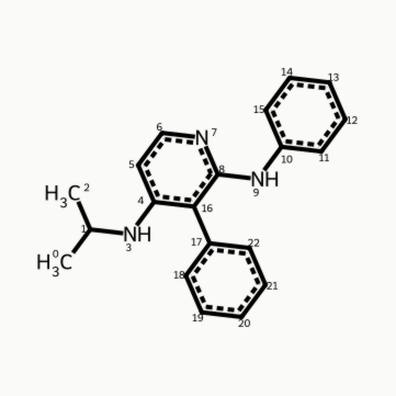 CC(C)Nc1ccnc(Nc2ccccc2)c1-c1ccccc1